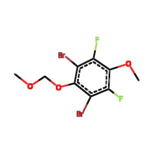 COCOc1c(Br)c(F)c(OC)c(F)c1Br